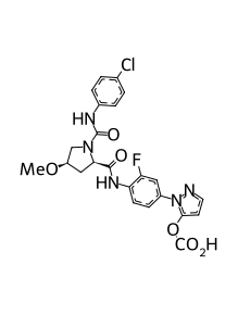 CO[C@@H]1C[C@H](C(=O)Nc2ccc(-n3nccc3OC(=O)O)cc2F)N(C(=O)Nc2ccc(Cl)cc2)C1